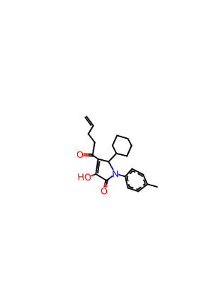 C=CCCC(=O)C1=C(O)C(=O)N(c2ccc(C)cc2)C1C1CCCCC1